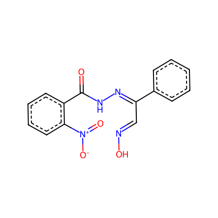 O=C(N/N=C(\C=N\O)c1ccccc1)c1ccccc1[N+](=O)[O-]